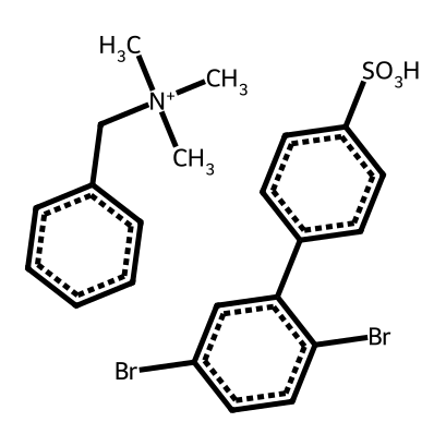 C[N+](C)(C)Cc1ccccc1.O=S(=O)(O)c1ccc(-c2cc(Br)ccc2Br)cc1